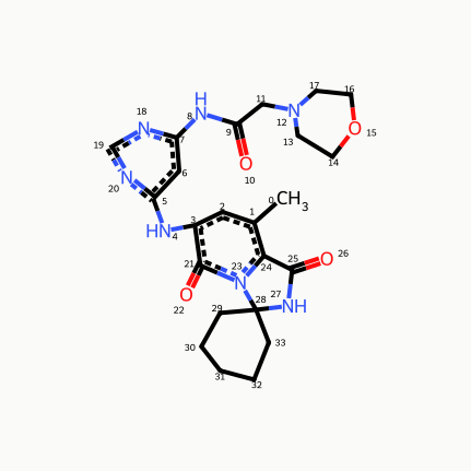 Cc1cc(Nc2cc(NC(=O)CN3CCOCC3)ncn2)c(=O)n2c1C(=O)NC21CCCCC1